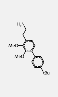 COc1c(CCN)ccc(-c2ccc(C(C)(C)C)cc2)c1OC